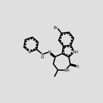 CC1CC(=NNc2ccccn2)c2c([nH]c3ccc(Br)cc23)C(=O)N1